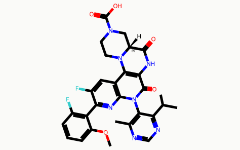 COc1cccc(F)c1-c1nc2c(cc1F)c1c(c(=O)n2-c2c(C)ncnc2C(C)C)NC(=O)[C@H]2CN(C(=O)O)CCN12